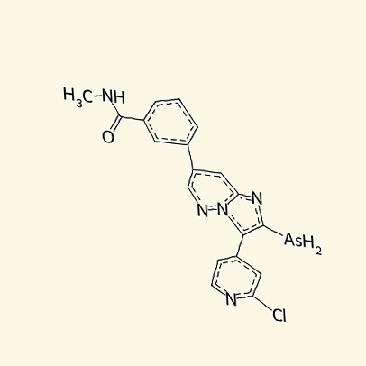 CNC(=O)c1cccc(-c2cnn3c(-c4ccnc(Cl)c4)c([AsH2])nc3c2)c1